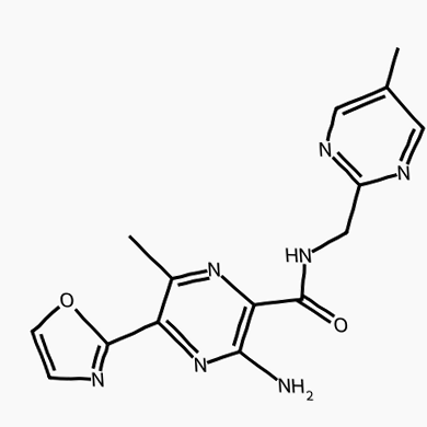 Cc1cnc(CNC(=O)c2nc(C)c(-c3ncco3)nc2N)nc1